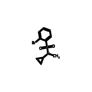 CN(C1CC1)S(=O)(=O)c1ccccc1Br